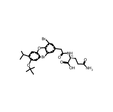 CC(C)c1cc(Oc2c(Br)cc(CC(=O)N[C@@H](CCC(N)=O)C(=O)O)cc2Br)ccc1OC(C)(C)C